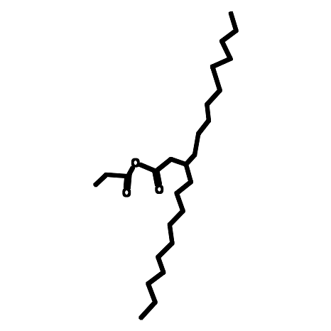 CCCCCCCCCCC(CCCCCCCCCC)CC(=O)OC(=O)CC